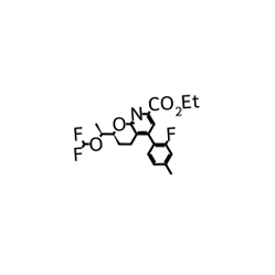 CCOC(=O)c1cc(-c2ccc(C)cc2F)c2c(n1)O[C@H]([C@H](C)OC(F)F)CC2